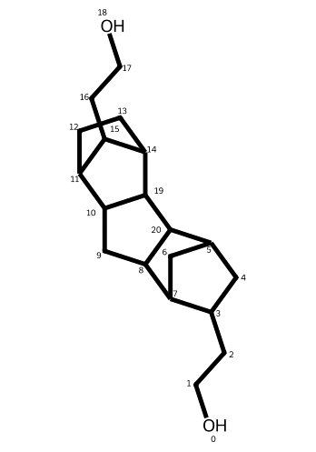 OCCC1CC2CC1C1CC3C4CCC(C4CCO)C3C21